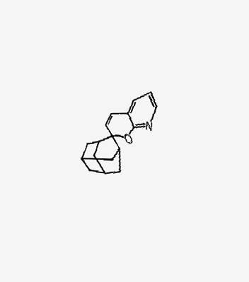 C1=CC2(Oc3ncccc31)C1CC3CC(C1)CC2C3